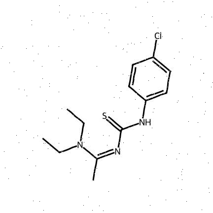 CCN(CC)/C(C)=N\C(=S)Nc1ccc(Cl)cc1